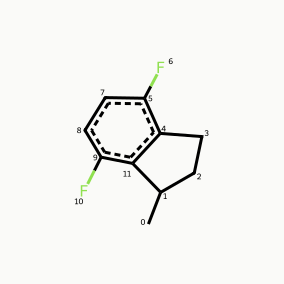 CC1CCc2c(F)ccc(F)c21